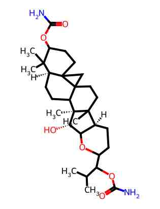 CC(C)C(OC(N)=O)C1CC[C@H]2C(O1)[C@H](O)[C@@]1(C)C3CC[C@H]4C(C)(C)C(OC(N)=O)CCC45CC35CCC21C